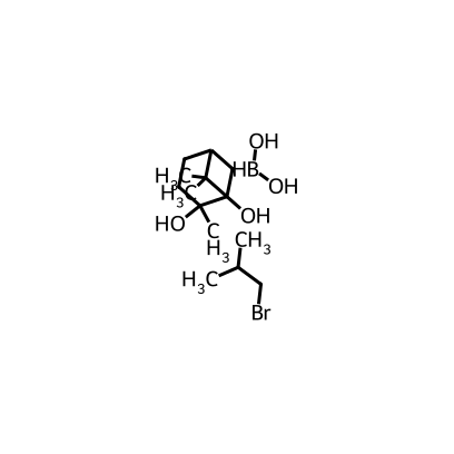 CC(C)CBr.CC1(O)CCC2CC1(O)C2(C)C.OBO